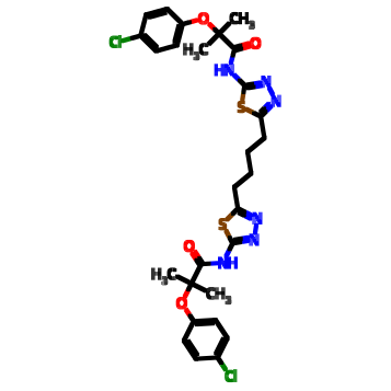 CC(C)(Oc1ccc(Cl)cc1)C(=O)Nc1nnc(CCCCc2nnc(NC(=O)C(C)(C)Oc3ccc(Cl)cc3)s2)s1